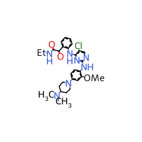 CCNC(=O)C(=O)c1ccccc1Nc1nc(Nc2ccc(N3CCC(N(C)C)CC3)cc2OC)ncc1Cl